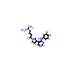 CN(C)C/C=C/C(=O)N1Cc2sc3ncnc(Nc4ccc(F)c(Cl)c4)c3c2C1